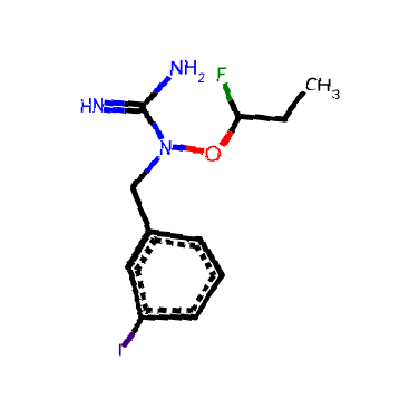 CCC(F)ON(Cc1cccc(I)c1)C(=N)N